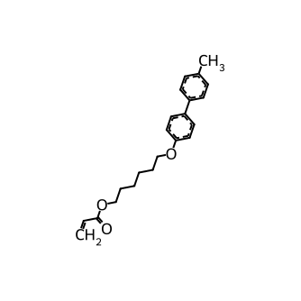 C=CC(=O)OCCCCCCOc1ccc(-c2ccc(C)cc2)cc1